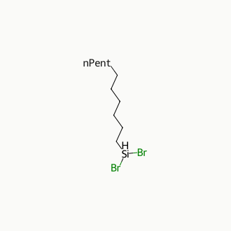 CCCCCCCCCCC[SiH](Br)Br